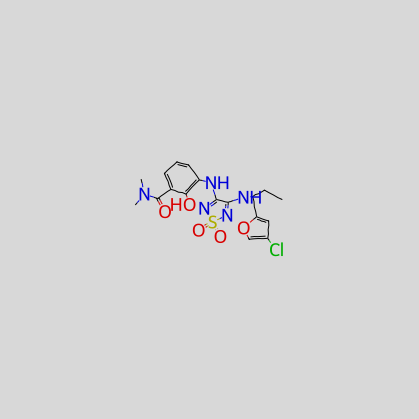 CCC(NC1=NS(=O)(=O)N=C1Nc1cccc(C(=O)N(C)C)c1O)c1cc(Cl)co1